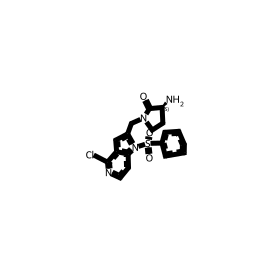 N[C@H]1CCN(Cc2cc3c(Cl)nccc3n2S(=O)(=O)c2ccccc2)C1=O